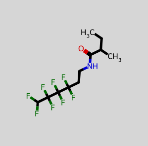 CCC(C)C(=O)NCCC(F)(F)C(F)(F)C(F)(F)C(F)F